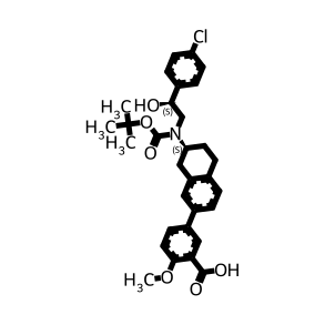 COc1ccc(-c2ccc3c(c2)C[C@@H](N(C[C@@H](O)c2ccc(Cl)cc2)C(=O)OC(C)(C)C)CC3)cc1C(=O)O